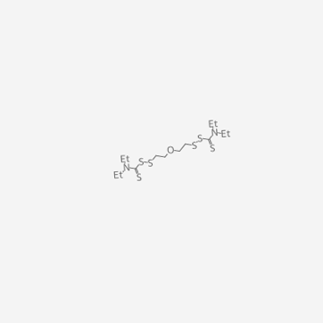 CCN(CC)C(=S)SSCCOCCSSC(=S)N(CC)CC